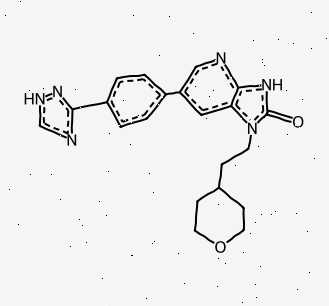 O=c1[nH]c2ncc(-c3ccc(-c4nc[nH]n4)cc3)cc2n1CCC1CCOCC1